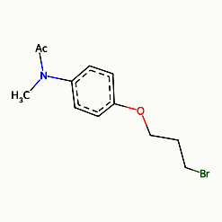 CC(=O)N(C)c1ccc(OCCCBr)cc1